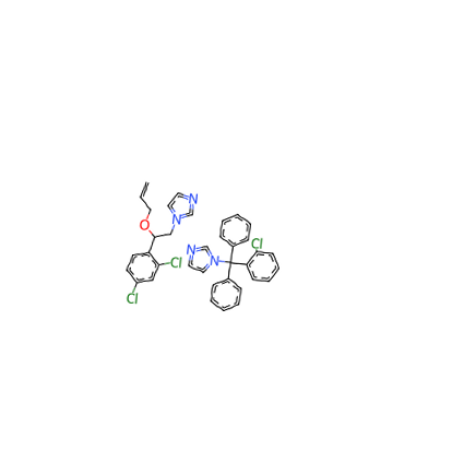 C=CCOC(Cn1ccnc1)c1ccc(Cl)cc1Cl.Clc1ccccc1C(c1ccccc1)(c1ccccc1)n1ccnc1